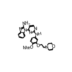 COc1ccc(Nc2nccc(-n3c(N)nc4ccccc43)n2)cc1OCCN1CCOCC1